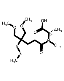 COCC(CCC(=O)N(C)[C@@H](C)C(=O)O)(COC)SSC